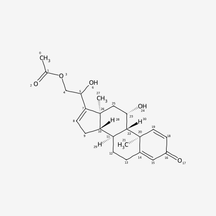 CC(=O)OCC(O)C1=CC[C@H]2[C@@H]3CCC4=CC(=O)C=C[C@]4(C)[C@H]3[C@@H](O)C[C@]12C